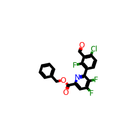 O=Cc1c(Cl)ccc(-c2nc(C(=O)OCc3ccccc3)cc(F)c2F)c1F